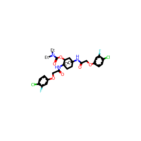 CCN(CC)C(=O)OC1CC2(NC(=O)COc3ccc(Cl)c(F)c3)CCC1(NC(=O)COc1ccc(Cl)c(F)c1)CC2